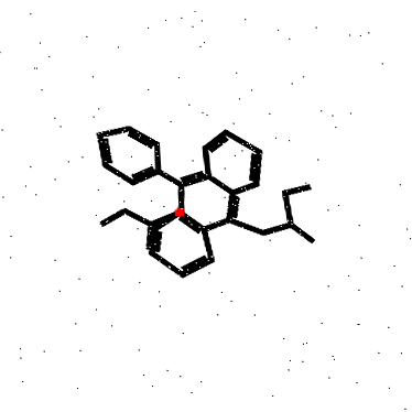 CCC(C)CC(c1ccccc1)=c1ccccc1=C(CC(C)CC)c1ccccc1